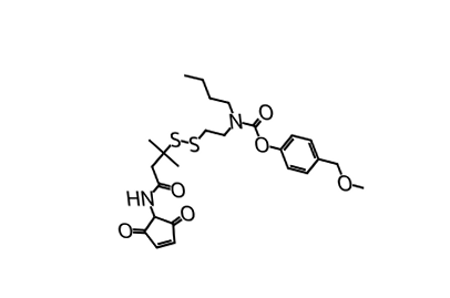 CCCCN(CCSSC(C)(C)CC(=O)NC1C(=O)C=CC1=O)C(=O)Oc1ccc(COC)cc1